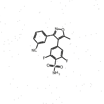 Cc1onc(-c2cccc(C#N)c2)c1-c1cc(F)c(S(N)(=O)=O)c(F)c1